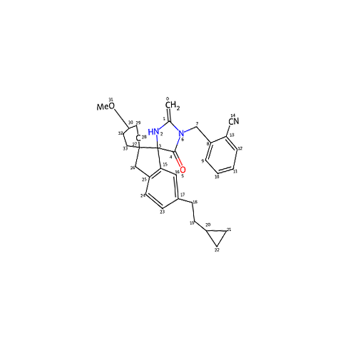 C=C1NC2(C(=O)N1Cc1ccccc1C#N)c1cc(CCC3CC3)ccc1CC21CCC(OC)CC1